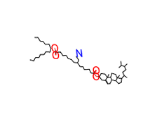 CCCCCCCCC(CCCCCC)OC(=O)CCCCCCC(CCCCCC(=O)OC1CCC2(C)C(=CCC3C2CCC2(C)C(C(C)CCC(C)C(C)C)CCC32)C1)CCN(C)C